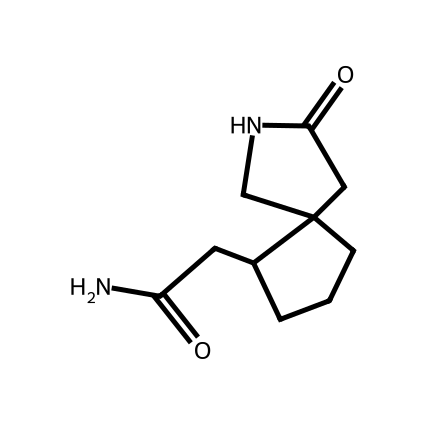 NC(=O)CC1CCCC12CNC(=O)C2